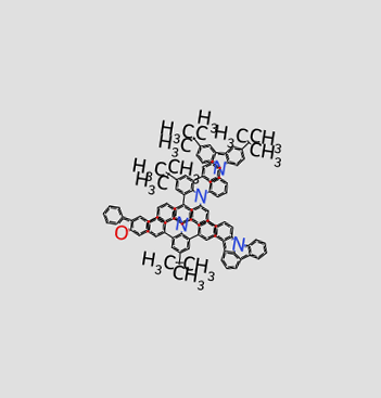 CC(C)(C)c1cc(-c2ccccc2)c(N(c2cccc(-c3ccc4oc5ccccc5c4c3)c2)c2cc(-c3ccc4c(c3)c3cccc5c6ccccc6n4c53)cc(N(c3cccc(-n4c5ccc(C(C)(C)C)cc5c5cc(C(C)(C)C)ccc54)c3)c3c(-c4ccccc4)cc(C(C)(C)C)cc3-c3ccccc3)c2)c(-c2ccccc2)c1